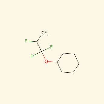 FC(C(F)(F)F)C(F)(F)OC1CCCCC1